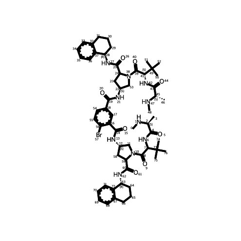 CN[C@@H](C)C(=O)NC(C(=O)N1C[C@@H](NC(=O)c2cc(C(=O)N[C@H]3CC(C(=O)N[C@@H]4CCCc5ccccc54)N(C(=O)[C@@H](NC(=O)[C@H](C)NC)C(C)(C)C)C3)ccc2Br)CC1C(=O)N[C@@H]1CCCc2ccccc21)C(C)(C)C